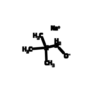 C[Si](C)(C)[SiH2][O-].[Na+]